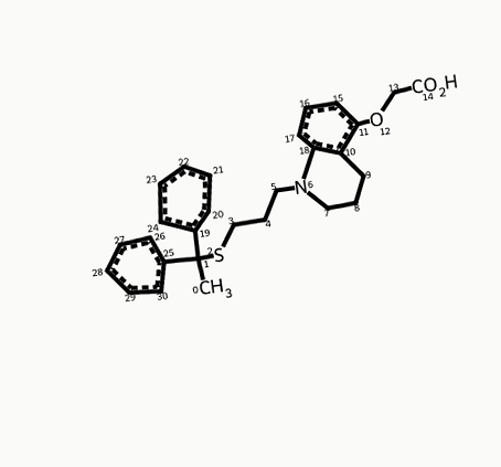 CC(SCCCN1CCCc2c(OCC(=O)O)cccc21)(c1ccccc1)c1ccccc1